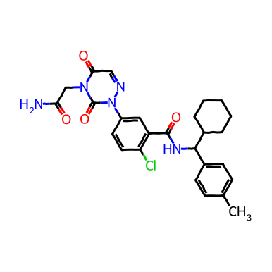 Cc1ccc(C(NC(=O)c2cc(-n3ncc(=O)n(CC(N)=O)c3=O)ccc2Cl)C2CCCCC2)cc1